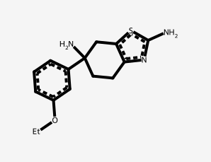 CCOc1cccc(C2(N)CCc3nc(N)sc3C2)c1